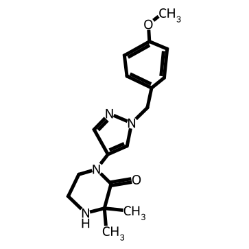 COc1ccc(Cn2cc(N3CCNC(C)(C)C3=O)cn2)cc1